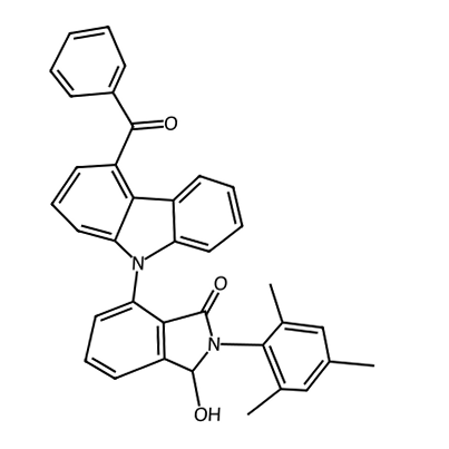 Cc1cc(C)c(N2C(=O)c3c(cccc3-n3c4ccccc4c4c(C(=O)c5ccccc5)cccc43)C2O)c(C)c1